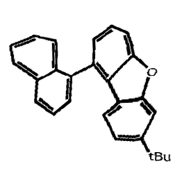 CC(C)(C)c1ccc2c(c1)oc1cccc(-c3cccc4ccccc34)c12